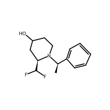 C[C@H](c1ccccc1)N1CCC(O)C[C@@H]1C(F)F